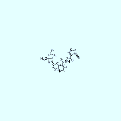 CC1(CC(F)F)CN(c2ccc3nccc(C(=O)NCC(=O)N4CSC[C@H]4C#N)c3c2)C1